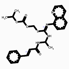 CC(NC(=O)/C=C/c1ccccc1)N/C(=N\c1cccc2cccnc12)SCOC(=O)OC(C)C